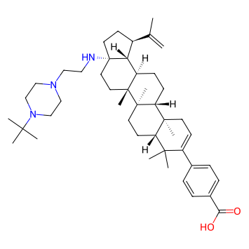 C=C(C)[C@@H]1CC[C@]2(NCCN3CCN(C(C)(C)C)CC3)CC[C@]3(C)[C@H](CC[C@@H]4[C@@]5(C)CC=C(c6ccc(C(=O)O)cc6)C(C)(C)[C@@H]5CC[C@]43C)[C@@H]12